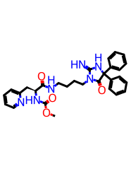 COC(=O)N[C@@H](Cc1ccccn1)C(=O)NCCCCN1C(=N)NC(c2ccccc2)(c2ccccc2)C1=O